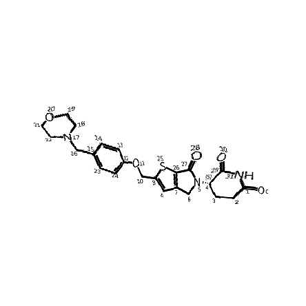 O=C1CC[C@H](N2Cc3cc(COc4ccc(CN5CCOCC5)cc4)sc3C2=O)C(=O)N1